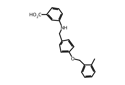 Cc1ccccc1COc1ccc(CNc2cccc(C(=O)O)c2)cc1